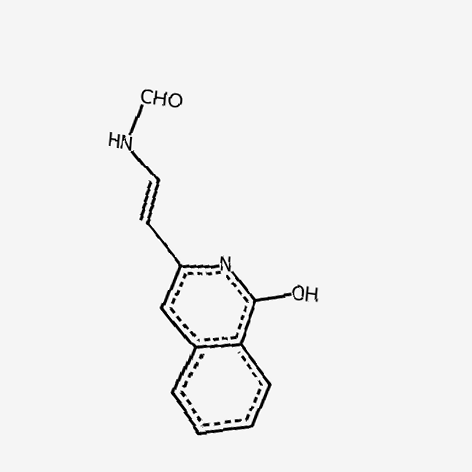 O=CNC=Cc1cc2ccccc2c(O)n1